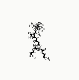 C=CCOC(=O)NC[C@@H](CC(=O)C[C@H]1NC(=O)[C@@H]1[C@@H](C)O[Si](C)(C)C(C)(C)C)NC(=O)OCC=C